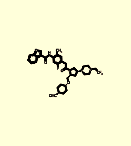 Cc1cc(CC(=O)N2C[C@@H](N3CCN(CC(F)(F)F)CC3)C[C@H]2CO[C@H]2CC[C@H](C=O)CC2)c(F)cc1NC(=O)c1coc2ccccc12